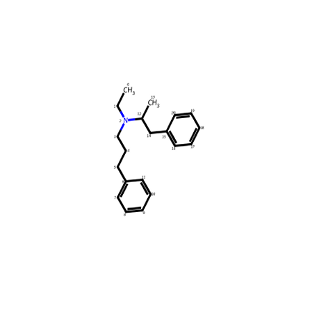 CCN(CCCc1ccccc1)C(C)Cc1ccccc1